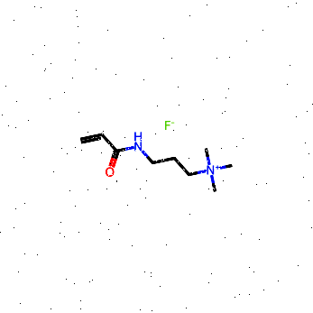 C=CC(=O)NCCC[N+](C)(C)C.[F-]